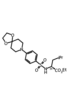 CCOC(=O)[C@H](CC(C)C)NS(=O)(=O)c1ccc(N2CCC3(CC2)OCCO3)cc1